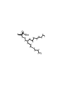 C=C(CCCN(CCCCCCCC)CCCCCCCC)C(=O)O